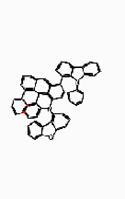 c1ccc(-c2cccc3cccc(-c4ccccc4N(c4ccc(-c5cccc6c7ccccc7n(-c7ccccc7)c56)cc4)c4cccc5oc6ccccc6c45)c23)cc1